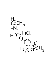 Cc1cc(OCC(O)CNC(C)C)ccc1S(C)(=O)=O.Cl